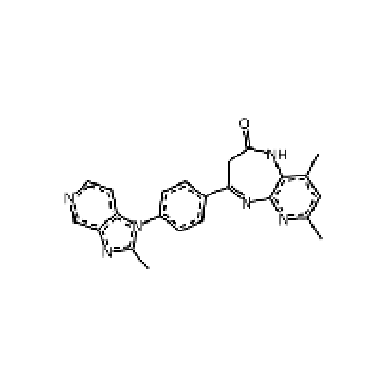 Cc1cc(C)c2c(n1)N=C(c1ccc(-n3c(C)nc4cnccc43)cc1)CC(=O)N2